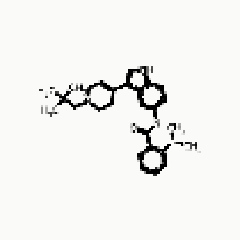 CN(C)c1ccccc1C(=O)Nc1ccc2[nH]cc(C3=CCN(CC(C)(C)C)CC3)c2c1